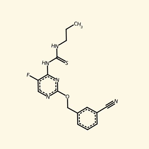 CCCNC(=S)Nc1nc(OCc2cccc(C#N)c2)ncc1F